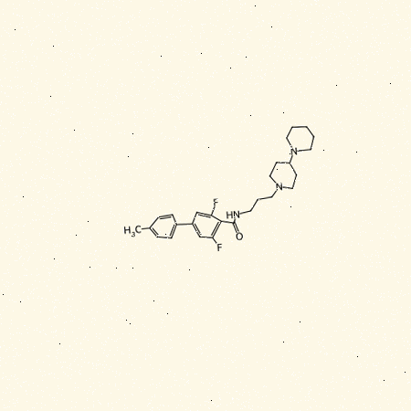 Cc1ccc(-c2cc(F)c(C(=O)NCCCN3CCC(N4CCCCC4)CC3)c(F)c2)cc1